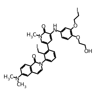 CN(C)c1ccc2c(=O)n(-c3cccc(-c4cc(Nc5ccc(OCCO)c(OCCI)c5)c(=O)n(C)c4)c3CI)ccc2c1